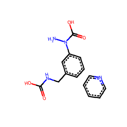 NN(C(=O)O)c1cccc(CNC(=O)O)c1.c1ccncc1